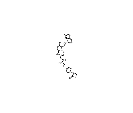 Cc1cnc2cccc(OCc3c(Cl)ccc(N(C)C(=O)CNC(=O)C=Cc4ccc(N5CCCC5=O)cc4)c3Cl)c2n1